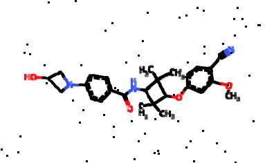 COc1cc(OC2C(C)(C)C(NC(=O)c3ccc(N4CC(O)C4)cc3)C2(C)C)ccc1C#N